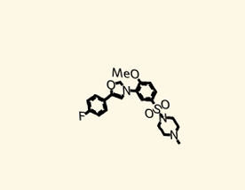 COc1ccc(S(=O)(=O)N2CCN(C)CC2)cc1N1C=C(c2ccc(F)cc2)OC1